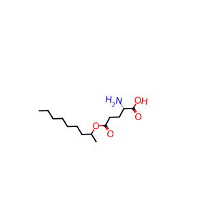 CCCCCCCC(C)OC(=O)CC[C@H](N)C(=O)O